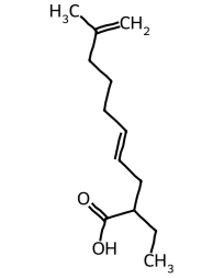 C=C(C)CCC/C=C/CC(CC)C(=O)O